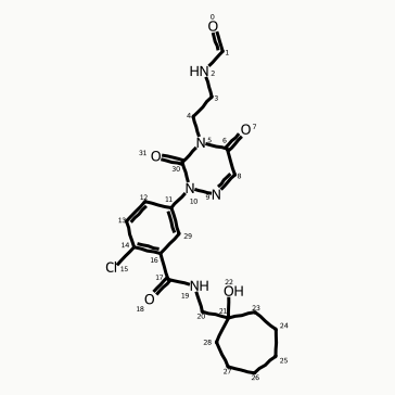 O=CNCCn1c(=O)cnn(-c2ccc(Cl)c(C(=O)NCC3(O)CCCCCC3)c2)c1=O